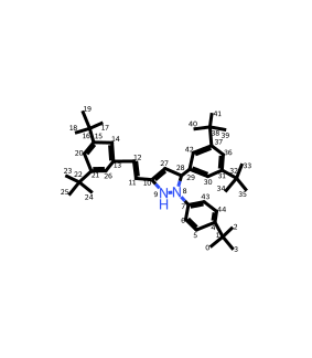 CC(C)(C)c1ccc(N2NC(C=Cc3cc(C(C)(C)C)cc(C(C)(C)C)c3)=CC2c2cc(C(C)(C)C)cc(C(C)(C)C)c2)cc1